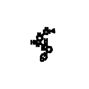 c1cc(N2CCOCC2)c2nc(-c3n[nH]c4cnc(-c5cnn(C6CC6)c5)cc34)[nH]c2c1